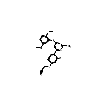 COc1ccc(OC)c(Sc2cc(-c3ccc(OCC#N)cc3C)nc(N)n2)c1